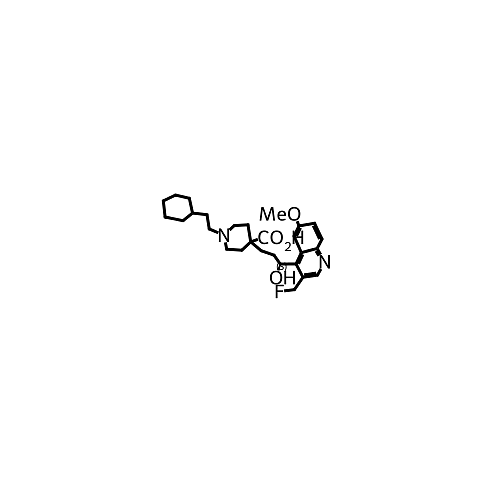 COc1ccc2ncc(CF)c([C@@H](O)CCC3(C(=O)O)CCN(CCC4CCCCC4)CC3)c2c1